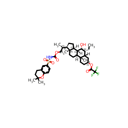 CC[C@H]1[C@@H](O)[C@@H]2[C@H](CC[C@]3(C)[C@@H]([C@H](C)COC(=O)NS(=O)(=O)c4ccc5c(c4)CCC(C)(C)O5)CC[C@@H]23)[C@@]2(C)CC[C@H](OC(=O)C(F)(F)F)C[C@@H]12